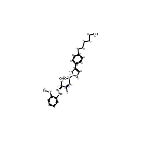 CCOc1ccccc1N/N=C(C)\C(C)=N/N(C=O)S1=NC(c2ccc(CCCCCO)cc2)=CS1